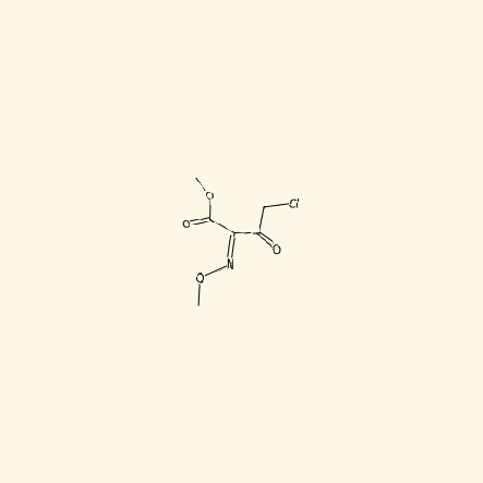 CON=C(C(=O)CCl)C(=O)OC